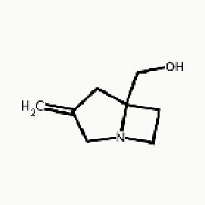 C=C1CN2CCC2(CO)C1